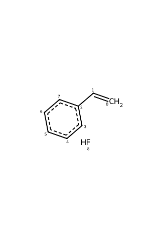 C=Cc1ccccc1.F